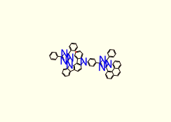 c1ccc(-c2nc(-c3ccc(-n4c5ccccc5c5c4ccc4c6ccccc6n(-c6nc(-c7ccccc7)nc(-c7ccccc7)n6)c45)cc3)nc(-c3cccc4ccc5ccccc5c34)n2)cc1